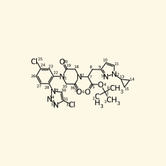 CC(C)(C)OC(=O)C(Cc1ccn(C2CC2)n1)N1CC(=O)N(c2cc(Cl)ccc2-n2cc(Cl)nn2)CC1=O